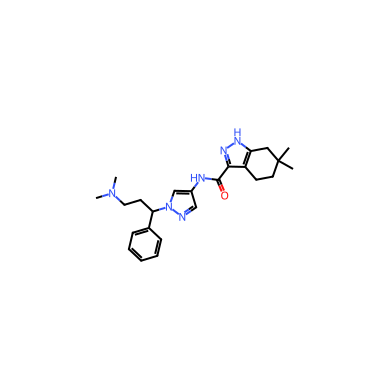 CN(C)CCC(c1ccccc1)n1cc(NC(=O)c2n[nH]c3c2CCC(C)(C)C3)cn1